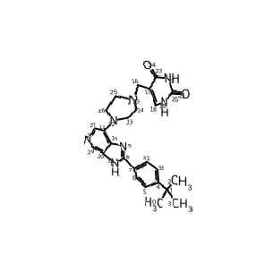 CC(C)(C)c1ccc(-c2nc3c(N4CCN(Cc5c[nH]c(=O)[nH]c5=O)CC4)cncc3[nH]2)cc1